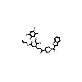 C=CCOC(=O)C[C@H](CCC(=O)C1CCN(C(=O)c2cc3ccccc3s2)CC1)C(=O)COc1c(C)c(F)cc(F)c1F